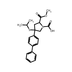 COC(=O)C1CC(SC(C)C)(c2ccc(-c3ccccc3)cc2)CN1C(=O)O